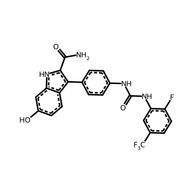 NC(=O)c1[nH]c2cc(O)ccc2c1-c1ccc(NC(=O)Nc2cc(C(F)(F)F)ccc2F)cc1